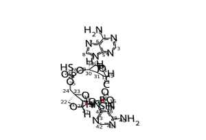 Nc1ncnc2c1ncn2[C@@H]1O[C@@H]2CO[P@](=O)(S)O[C@H]3[C@H]4OC[C@]3(CO[P@@](=O)(S)O[C@@H]1[C@@H]2F)O[C@H]4n1cnc2c(N)ncnc21